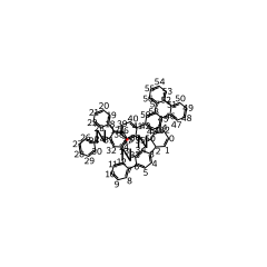 C1=CC2c3ccc4c5ccccc5n(-c5ccc6c7ccccc7n(-c7ccccc7)c6c5)c4c3N(c3ccccc3-c3ccc4c5ccccc5c5ccccc5c4c3)C2C=C1